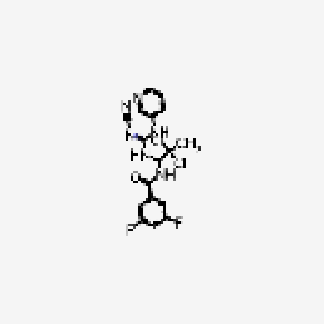 CC(Cl)(Cl)C(NC(=O)c1cc(F)cc(F)c1)N/C(=N/C#N)Nc1cccnc1